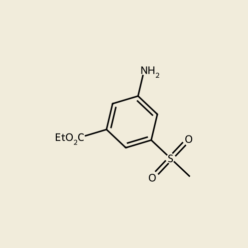 CCOC(=O)c1cc(N)cc(S(C)(=O)=O)c1